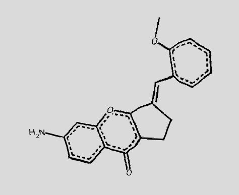 COc1ccccc1/C=C1\CCc2c1oc1cc(N)ccc1c2=O